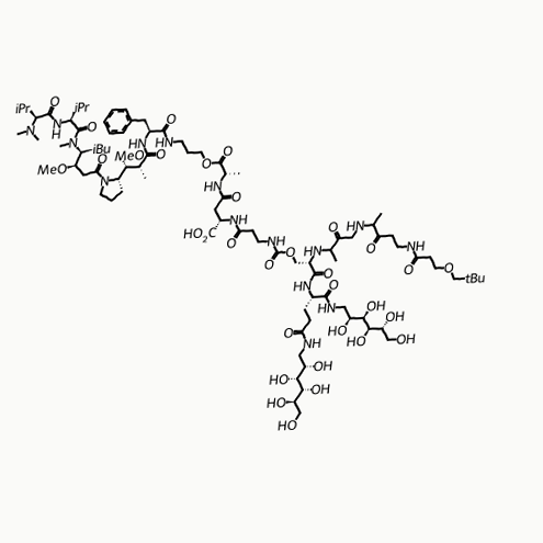 CC[C@H](C)[C@@H]([C@@H](CC(=O)N1CCC[C@H]1[C@H](OC)[C@@H](C)C(=O)N[C@@H](Cc1ccccc1)C(=O)NCCCOC(=O)[C@H](C)NC(=O)C[C@H](NC(=O)CCNC(=O)OC[C@H](NC(C)C(=O)CNC(C)C(=O)CCNC(=O)CCOCC(C)(C)C)C(=O)N[C@@H](CCC(=O)NC[C@H](O)[C@@H](O)[C@H](O)[C@H](O)CO)C(=O)NC[C@H](O)[C@@H](O)[C@H](O)[C@H](O)CO)C(=O)O)OC)N(C)C(=O)[C@@H](NC(=O)[C@H](C(C)C)N(C)C)C(C)C